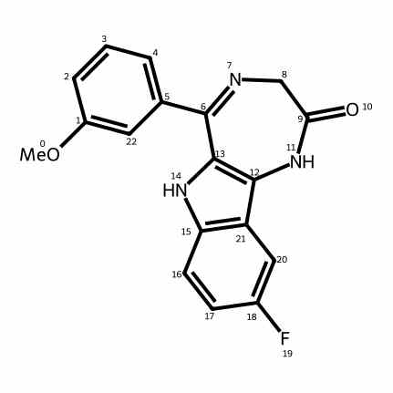 COc1cccc(C2=NCC(=O)Nc3c2[nH]c2ccc(F)cc32)c1